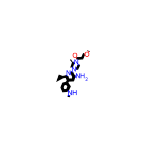 CNc1cccc(-c2cc(N)c(N3CCN(C(=O)CCOC)[C@H](C)C3)nc2C2CC2)c1